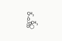 C=CCOCC1COC2(CCCCC2C)O1